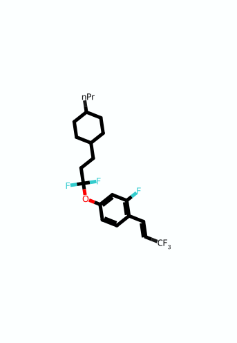 CCCC1CCC(CCC(F)(F)Oc2ccc(/C=C/C(F)(F)F)c(F)c2)CC1